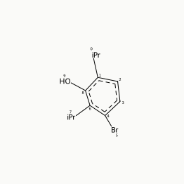 CC(C)c1ccc(Br)c(C(C)C)c1O